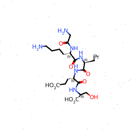 CC(C)C[C@H](NC(=O)[C@H](CCCCN)NC(=O)CN)C(=O)N[C@@H](CCC(=O)O)C(=O)N[C@@H](CO)C(=O)O